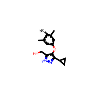 Cc1cc(Oc2c(C3CC3)n[nH]c2CO)cc(C)c1C#N